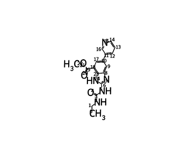 CCNC(=O)Nc1nc2cc(-c3cccnc3)cc(C(=O)OC)c2[nH]1